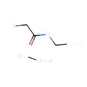 CCCCCC.NCC(=O)NCC(=O)O